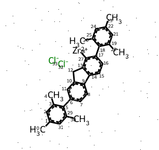 Cc1cc(C)c(-c2ccc3c(c2)Cc2c-3ccc(-c3c(C)cc(C)cc3C)[c]2[Zr+2])c(C)c1.[Cl-].[Cl-]